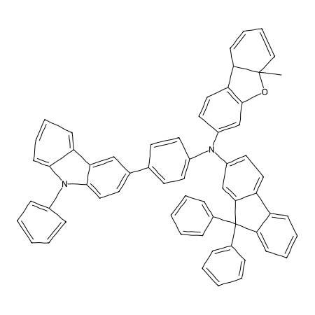 CC12C=CC=CC1c1ccc(N(c3ccc(-c4ccc5c(c4)c4ccccc4n5-c4ccccc4)cc3)c3ccc4c(c3)C(c3ccccc3)(c3ccccc3)c3ccccc3-4)cc1O2